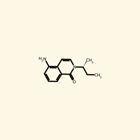 CC[C@@H](C)n1ccc2c(N)cccc2c1=O